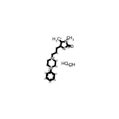 CC1C(CCCN2CCN(c3ccccc3)CC2)SC(=O)N1C.Cl.Cl